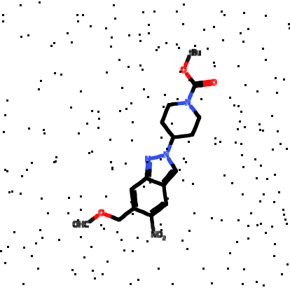 CC(C)(C)OC(=O)N1CCC(n2cc3cc([N+](=O)[O-])c(COC=O)cc3n2)CC1